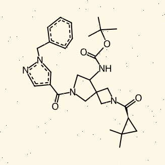 CC(C)(C)OC(=O)NC1CN(C(=O)c2cnn(Cc3ccccc3)c2)CC12CN(C(=O)[C@H]1CC1(C)C)C2